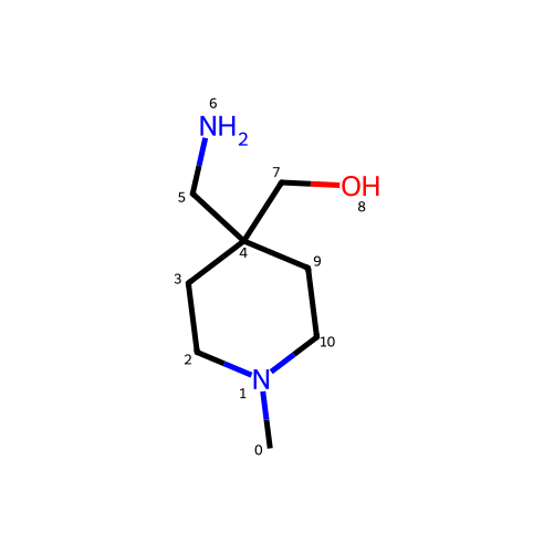 CN1CCC(CN)(CO)CC1